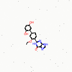 CCOc1cc(-c2cc(O)ccc2O)ccc1-c1nc2[nH]cnc2c(=O)[nH]1